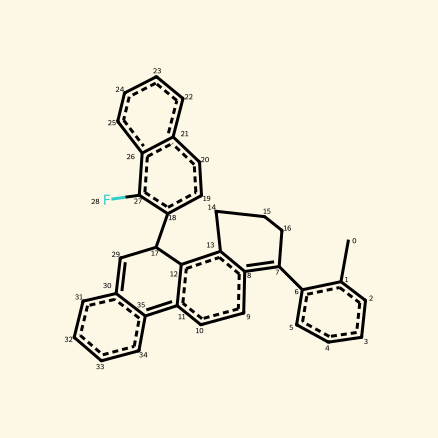 Cc1ccccc1C1=c2ccc3c(c2CCC1)C(c1ccc2ccccc2c1F)C=c1ccccc1=3